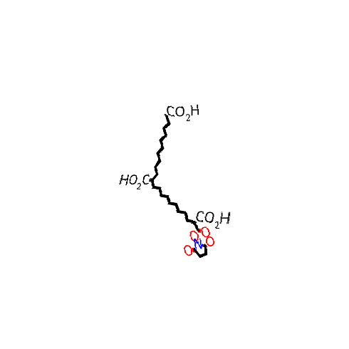 O=C(O)CCCCCCCCCCC(CCCCCCCCCC(C(=O)O)C(=O)ON1C(=O)CCC1=O)C(=O)O